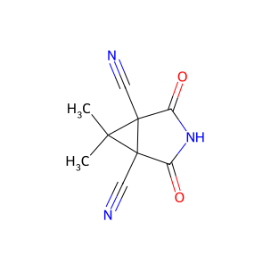 CC1(C)C2(C#N)C(=O)NC(=O)C12C#N